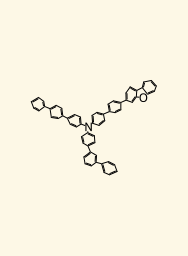 c1ccc(-c2ccc(-c3ccc(N(c4ccc(-c5ccc(-c6ccc7c(c6)oc6ccccc67)cc5)cc4)c4ccc(-c5cccc(-c6ccccc6)c5)cc4)cc3)cc2)cc1